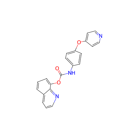 O=C(Nc1ccc(Oc2ccncc2)cc1)Oc1cccc2cccnc12